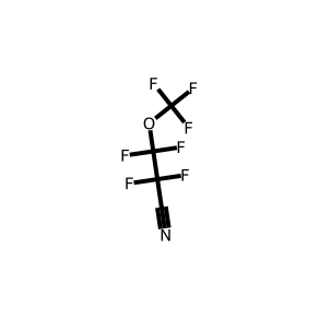 N#CC(F)(F)C(F)(F)OC(F)(F)F